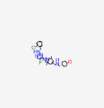 CO[C@H]1CC[C@H](CNC[C@@H]2CC(C)C[C@@](C)(CNc3nc(NCc4ccccc4Cl)ncc3F)C2)CC1